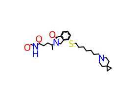 CC(CCC(=O)NC=O)N1Cc2c(SCCCCCCCN3CCC4(CC3)CC4)cccc2C1=O